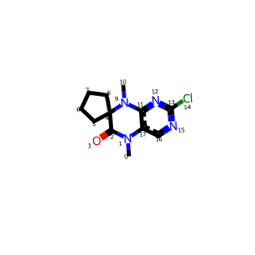 CN1C(=O)C2(CCCC2)N(C)c2nc(Cl)ncc21